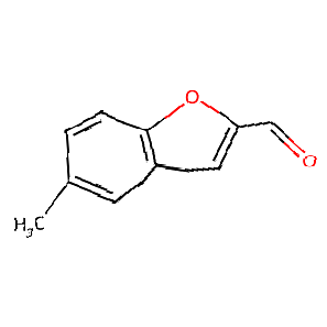 Cc1ccc2oc(C=O)cc2c1